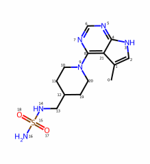 Cc1c[nH]c2ncnc(N3CCC(CNS(N)(=O)=O)CC3)c12